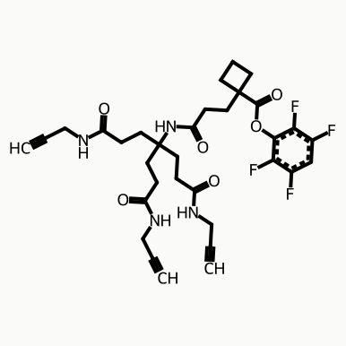 C#CCNC(=O)CCC(CCC(=O)NCC#C)(CCC(=O)NCC#C)NC(=O)CCC1(C(=O)Oc2c(F)c(F)cc(F)c2F)CCC1